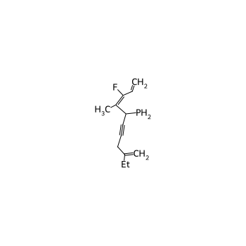 C=C/C(F)=C(/C)C(P)C#CCC(=C)CC